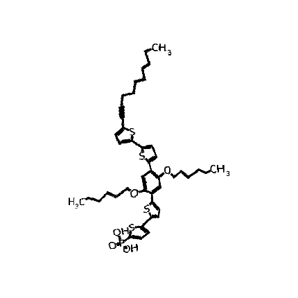 CCCCCCCCC#Cc1ccc(-c2ccc(-c3cc(OCCCCCC)c(-c4ccc(-c5ccc(P(=O)(O)O)s5)s4)cc3OCCCCCC)s2)s1